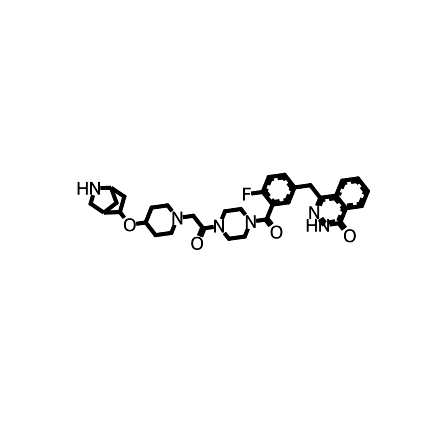 O=C(CN1CCC(OC2CC3CC2CN3)CC1)N1CCN(C(=O)c2cc(Cc3n[nH]c(=O)c4ccccc34)ccc2F)CC1